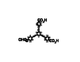 O=COc1ccc(C#Cc2cc(C#Cc3ccc(C(=O)O)cc3)cc(C#Cc3ccc(C(=O)O)cc3)c2)cc1